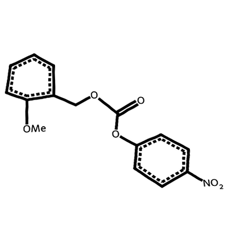 COc1ccccc1COC(=O)Oc1ccc([N+](=O)[O-])cc1